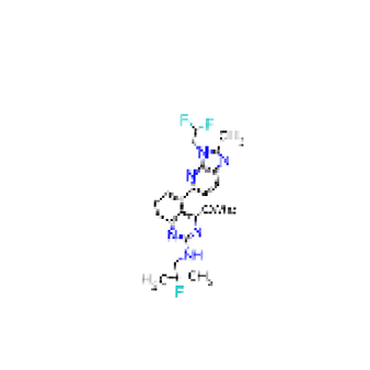 COc1nc(NCC(C)(C)F)nc2c1C(c1ccc3nc(C)n(CC(F)F)c3n1)=CCC2